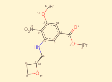 CC(C)OC(=O)c1cc(NC[C@@H]2CCO2)c([N+](=O)[O-])c(OC(C)C)c1